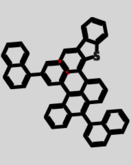 c1cc(-c2cccc3ccccc23)cc(-c2c3ccccc3c(-c3cccc4ccccc34)c3cccc(-c4cccc5c4sc4ccccc45)c23)c1